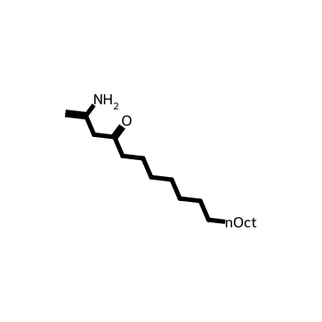 C=C(N)CC(=O)CCCCCCCCCCCCCCC